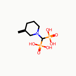 C=C1CCCN(C(P(=O)(O)O)P(=O)(O)O)C1